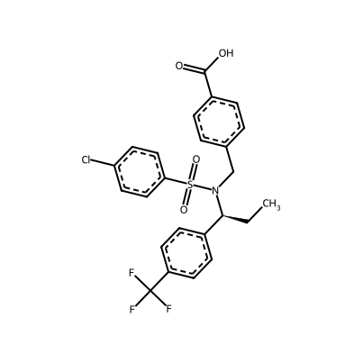 CC[C@@H](c1ccc(C(F)(F)F)cc1)N(Cc1ccc(C(=O)O)cc1)S(=O)(=O)c1ccc(Cl)cc1